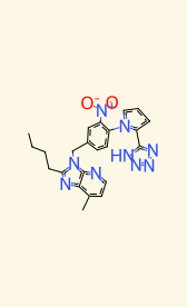 CCCCc1nc2c(C)ccnc2n1Cc1ccc(-n2cccc2-c2nnn[nH]2)c([N+](=O)[O-])c1